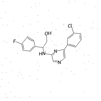 OCC(Nc1cncc(-c2cccc(Cl)c2)n1)c1ccc(F)cc1